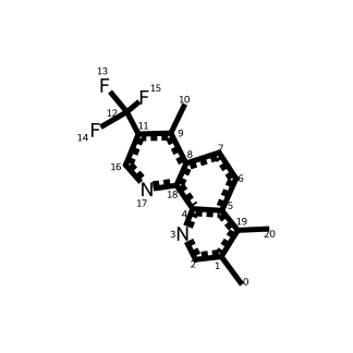 Cc1cnc2c(ccc3c(C)c(C(F)(F)F)cnc32)c1C